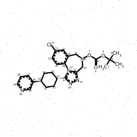 CC(C)(C)OC(=O)ON1Cc2cc(Cl)ccc2-n2c(nnc2[C@H]2CC[C@H](c3cccnc3)CC2)C1